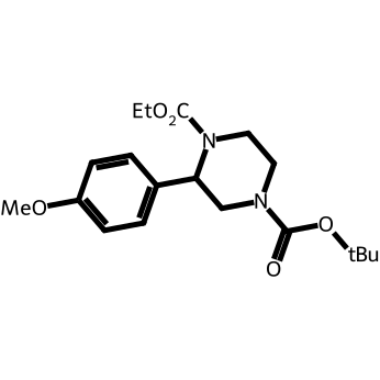 CCOC(=O)N1CCN(C(=O)OC(C)(C)C)CC1c1ccc(OC)cc1